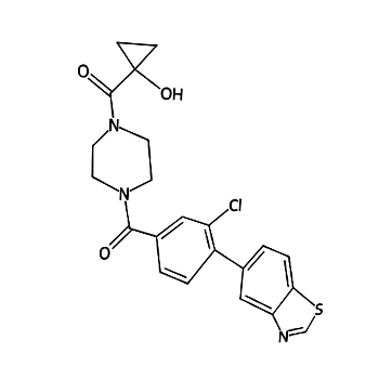 O=C(c1ccc(-c2ccc3scnc3c2)c(Cl)c1)N1CCN(C(=O)C2(O)CC2)CC1